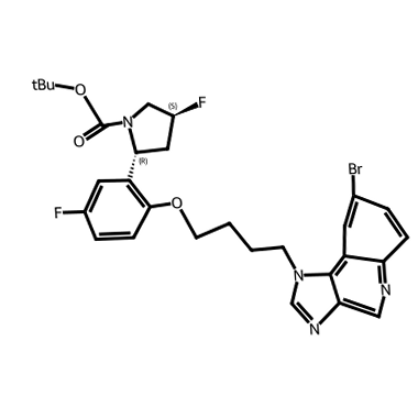 CC(C)(C)OC(=O)N1C[C@@H](F)C[C@@H]1c1cc(F)ccc1OCCCCn1cnc2cnc3ccc(Br)cc3c21